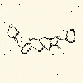 CC1=c2c([nH]n(-c3ccccc3F)c2=O)=CC(O)N1Cc1ccc(CN2CCOCC2)cc1